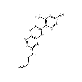 COCCOc1cnc2c(c1)CN(c1ncc(C#N)cc1C)CC2